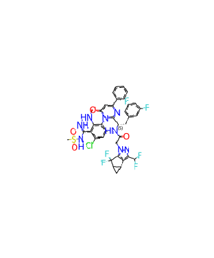 CNc1c(-n2c([C@H](Cc3cc(F)cc(F)c3)NC(=O)Cn3nc(C(F)F)c4c3C(F)(F)C3CC43)nc(-c3ccccc3)cc2=O)ccc(Cl)c1C(=N)NS(C)(=O)=O